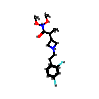 CON(OC)C(=O)C(C)C1CN(CCc2ccc(F)cc2F)C1